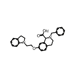 O=C(O)C1c2cc(OCCN3CCc4ccccc43)ccc2CCN1Cc1ccccc1